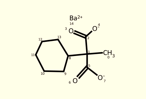 CC(C(=O)[O-])(C(=O)[O-])C1CCCCC1.[Ba+2]